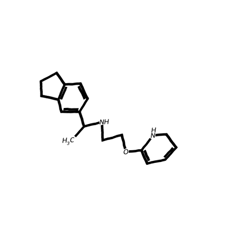 CC(NCCOC1=CC=CCN1)c1ccc2c(c1)CCC2